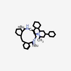 CCCCC1NCC2=C(CNC(CCCC)C3CCCCC3CCC3CCC=CC31)C1CCCCC1C1CC(C3CCCCC3)CC(C)N21